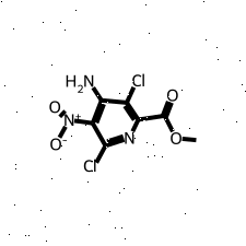 COC(=O)c1nc(Cl)c([N+](=O)[O-])c(N)c1Cl